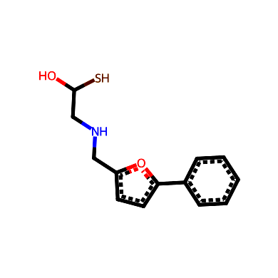 OC(S)CNCc1ccc(-c2ccccc2)o1